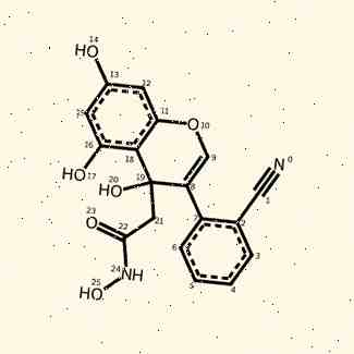 N#Cc1ccccc1C1=COc2cc(O)cc(O)c2C1(O)CC(=O)NO